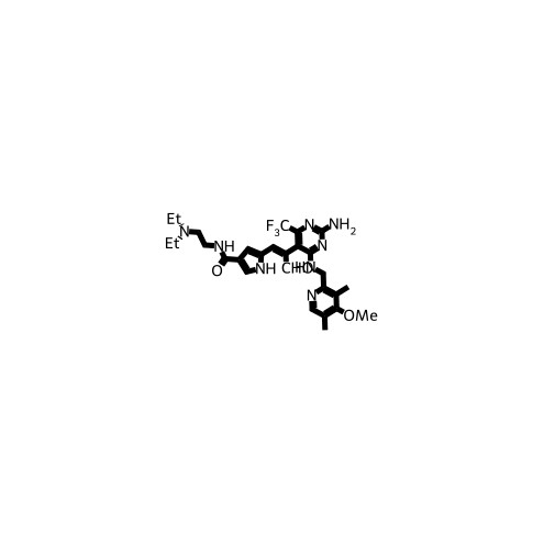 CCN(CC)CCNC(=O)c1c[nH]c(/C=C(\C=O)c2c(NCc3ncc(C)c(OC)c3C)nc(N)nc2C(F)(F)F)c1